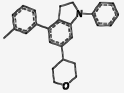 Cc1cccc(-c2cc(C3CCOCC3)cc3c2CCN3c2ccccc2)c1